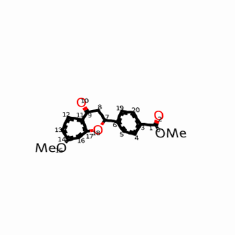 COC(=O)c1ccc(C2CC(=O)c3ccc(OC)cc3O2)cc1